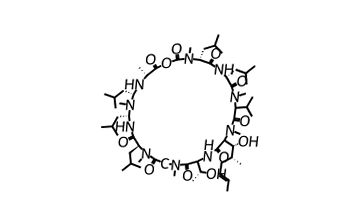 C/C=C/C[C@@H](C)[C@@H](O)C1C(=O)NC([C@@H](C)O)C(=O)N(C)CC(=O)N(C)[C@@H](CC(C)C)C(=O)N[C@H](CC(C)C)N(C)[C@H](CC(C)C)N[C@H](C)C(=O)OC(=O)N(C)[C@H](CC(C)C)C(=O)N[C@H](CC(C)C)C(=O)N(C)C(C(C)C)C(=O)N1C